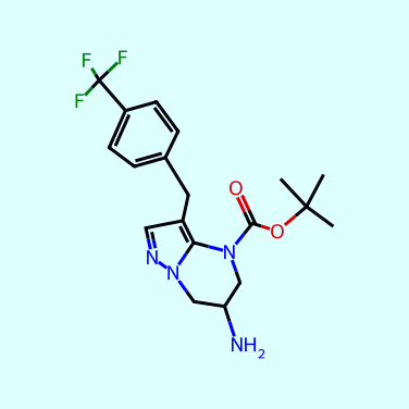 CC(C)(C)OC(=O)N1CC(N)Cn2ncc(Cc3ccc(C(F)(F)F)cc3)c21